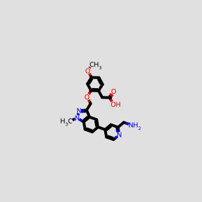 COc1ccc(CC(=O)O)c(OCc2nn(C)c3ccc(-c4ccnc(CN)c4)cc23)c1